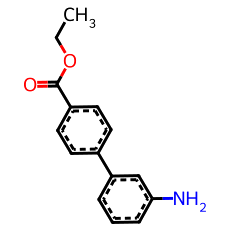 CCOC(=O)c1ccc(-c2cccc(N)c2)cc1